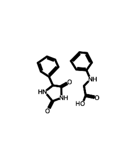 O=C(O)CNc1ccccc1.O=C1NC(=O)C(c2ccccc2)N1